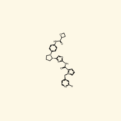 O=C(Nc1nc([C@H]2CCCN2c2ccc(NC(=O)C3CCO3)cc2)cs1)c1cccn1Cc1ccnc(F)c1